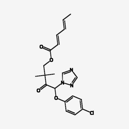 CC=CC=CC(=O)OCC(C)(C)C(=O)C(Oc1ccc(Cl)cc1)n1cncn1